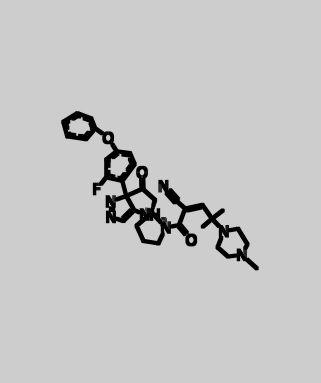 CN1CCN(C(C)(C)C=C(C#N)C(=O)N2CCC[C@H]2CC(=O)C2(c3ccc(Oc4ccccc4)cc3F)N=NC=C2N)CC1